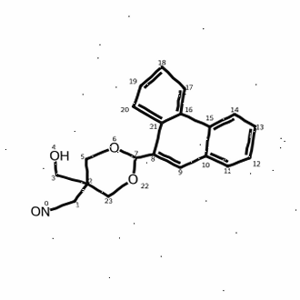 O=NCC1(CO)COC(c2cc3ccccc3c3ccccc23)OC1